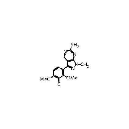 COc1ccc(-c2nn(C)c3nc(N)ncc23)c(OC)c1Cl